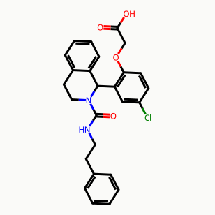 O=C(O)COc1ccc(Cl)cc1C1c2ccccc2CCN1C(=O)NCCc1ccccc1